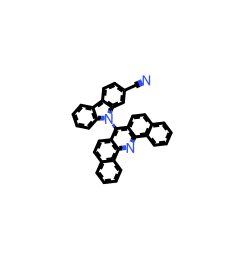 N#Cc1ccc2c3ccccc3n(-c3c4ccc5ccccc5c4nc4c3ccc3ccccc34)c2c1